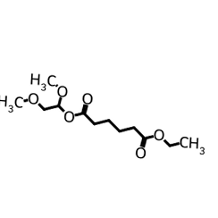 CCOC(=O)CCCCC(=O)OC(COC)OC